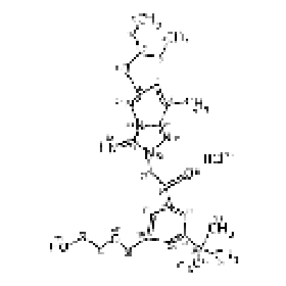 CCC(CC)Oc1cc(C)c2nn(CC(=O)c3cc(COCCO)cc(C(C)(C)C)c3)c(=N)n2n1.Cl